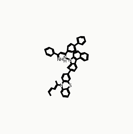 C/C=C\C=C(/C)N1c2ccccc2Sc2cc(-c3ccc4c5c6ccccc6ccc5n(N/C(=C\C(=N)c5ccccc5)c5ccc(-c6ccccc6)cc5)c4c3)ccc21